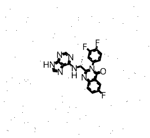 C[C@@H](Nc1ncnc2[nH]cnc12)c1nc2ccc(F)cc2c(=O)n1-c1ccc(F)c(F)c1